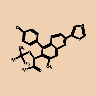 CC(=O)[C@@H](OC(C)(C)C)c1c(C)cc2nc(-c3cncs3)ccc2c1-c1ccc(Cl)cc1